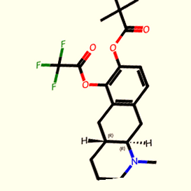 CN1CCC[C@@H]2Cc3c(ccc(OC(=O)C(C)(C)C)c3OC(=O)C(F)(F)F)C[C@H]21